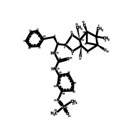 CC1(C)[C@@H]2C[C@H]3OB([C@H](Cc4ccccc4)NC(=O)Nc4cccc(N=S(C)(C)=O)n4)O[C@@]3(C)[C@H]1C2